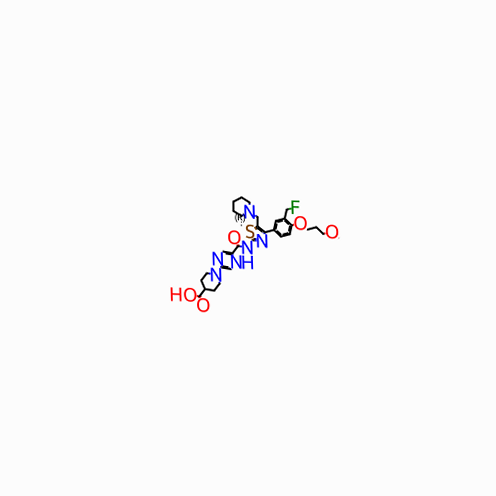 COCCCOc1ccc(-c2nc(NC(=O)c3cnc(N4CCC(C(=O)O)CC4)cn3)sc2CN2CCCC[C@H]2C)cc1CF